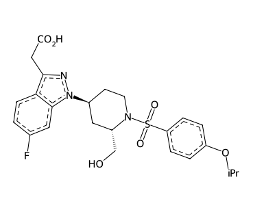 CC(C)Oc1ccc(S(=O)(=O)N2CC[C@H](n3nc(CC(=O)O)c4ccc(F)cc43)C[C@H]2CO)cc1